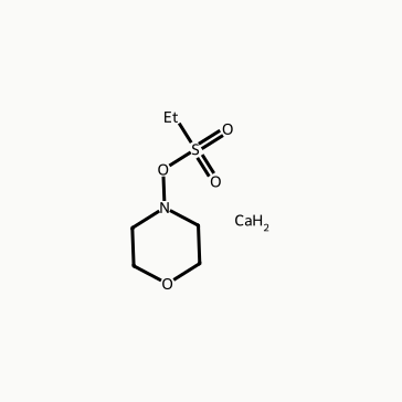 CCS(=O)(=O)ON1CCOCC1.[CaH2]